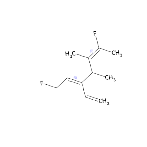 C=C/C(=C\CF)C(C)/C(C)=C(\C)F